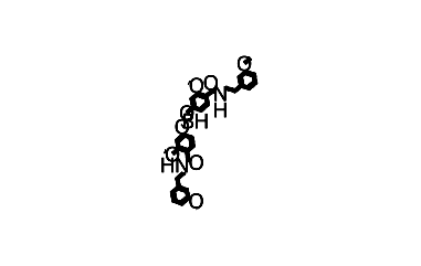 COc1cccc(CCNC(=O)c2ccc(OBOc3ccc(C(=O)NCCc4cccc(OC)c4)c(OC)c3)cc2OC)c1